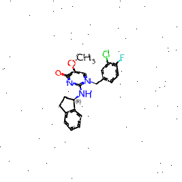 COc1cn(Cc2ccc(F)c(Cl)c2)c(N[C@@H]2CCc3ccccc32)nc1=O